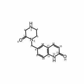 O=C1CNCCN1Cc1ccc2[nH]c(=O)ccc2c1